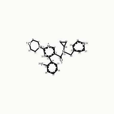 O=C(c1cnc(N2CCOCC2)nc1-c1ccccc1F)N(Cc1ccncc1)C1CC1